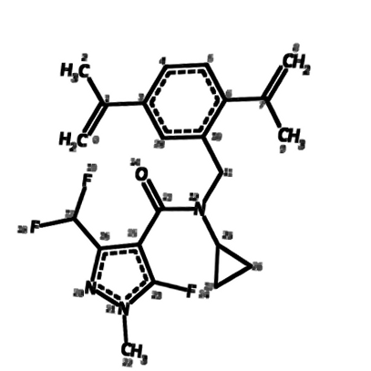 C=C(C)c1ccc(C(=C)C)c(CN(C(=O)c2c(C(F)F)nn(C)c2F)C2CC2)c1